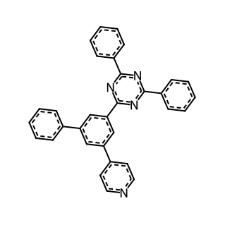 c1ccc(-c2cc(-c3ccncc3)cc(-c3nc(-c4ccccc4)nc(-c4ccccc4)n3)c2)cc1